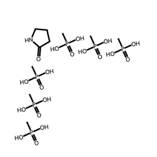 CP(=O)(O)O.CP(=O)(O)O.CP(=O)(O)O.CP(=O)(O)O.CP(=O)(O)O.CP(=O)(O)O.O=C1CCCN1